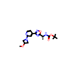 COC1CN(c2cc(-c3noc([C@H](C)NC(=O)OC(C)(C)C)n3)ccn2)C1